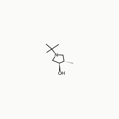 C[C@H]1CN(C(C)(C)C)C[C@@H]1O